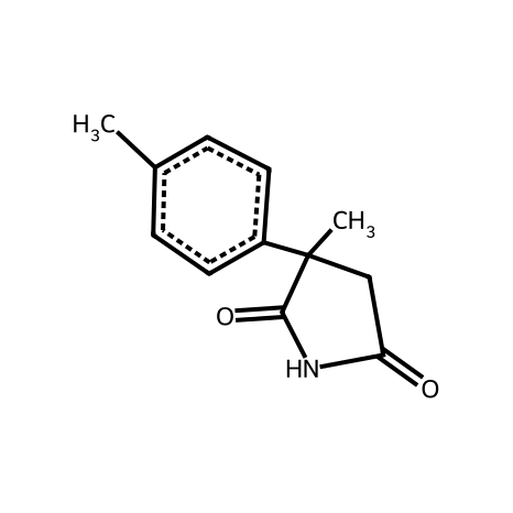 Cc1ccc(C2(C)CC(=O)NC2=O)cc1